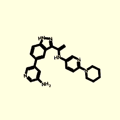 C=C(Nc1ccc(N2CCCCC2)nc1)c1n[nH]c2ccc(-c3cncc(N)c3)cc12